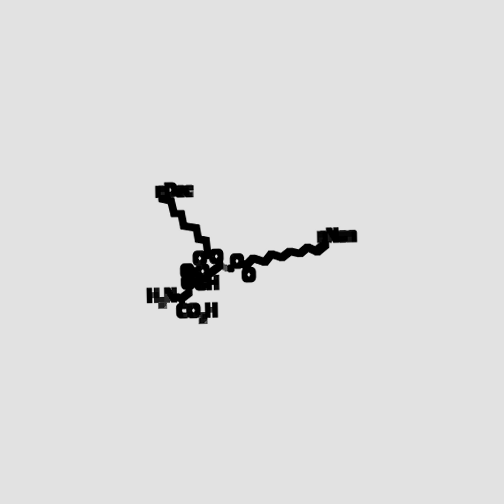 CCCCCCCCC/C=C\CCCCCCCC(=O)OC[C@H](COP(=O)(O)OC[C@H](N)C(=O)O)OC(=O)CCCCCCCCCCCCCCCCCC